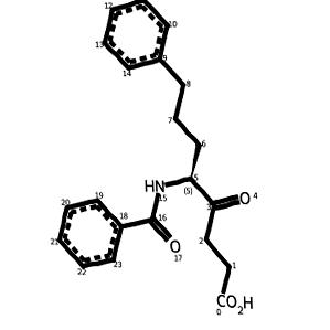 O=C(O)CCC(=O)[C@H](CCCc1ccccc1)NC(=O)c1ccccc1